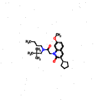 CCCCN(CC(C)(C)C)C(=O)Cn1c(=O)c(C2CCCC2)cc2ccc(OC)cc21